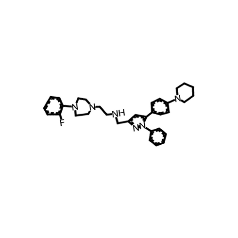 Fc1ccccc1N1CCN(CCNCc2cc(-c3ccc(N4CCCCC4)cc3)n(-c3ccccc3)n2)CC1